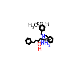 CC(C)C(N)(C[C@H](O)CCc1ccccc1)N(Cc1ccccc1)Cc1ccccc1.CS(=O)(=O)O